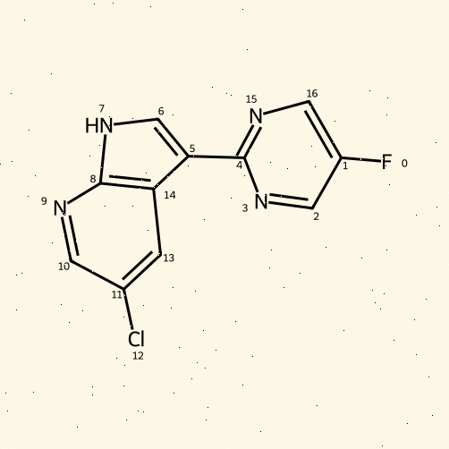 Fc1cnc(-c2c[nH]c3ncc(Cl)cc23)nc1